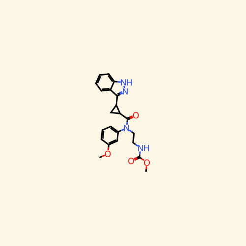 COC(=O)NCCN(C(=O)C1CC1c1n[nH]c2ccccc12)c1cccc(OC)c1